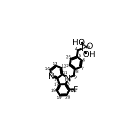 O=P(O)(O)Cc1ccc(Cn2c3cccnc3c3cccc(F)c32)cc1